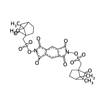 CC1(C)C2CCC1(CS(=O)(=O)On1c(=O)c3cc4c(=O)n(OS(=O)(=O)CC56CCC(CC5=O)C6(C)C)c(=O)c4cc3c1=O)C(=O)C2